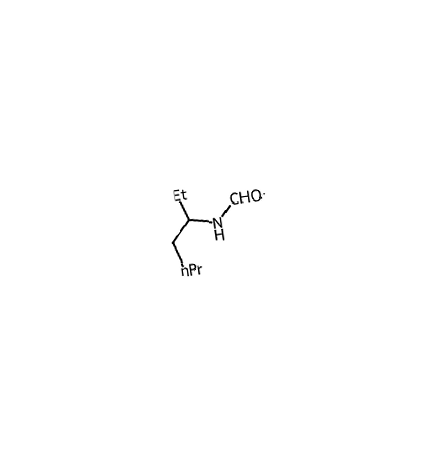 CCCCC(CC)N[C]=O